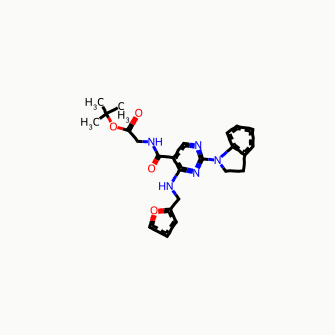 CC(C)(C)OC(=O)CNC(=O)c1cnc(N2CCc3ccccc32)nc1NCc1ccco1